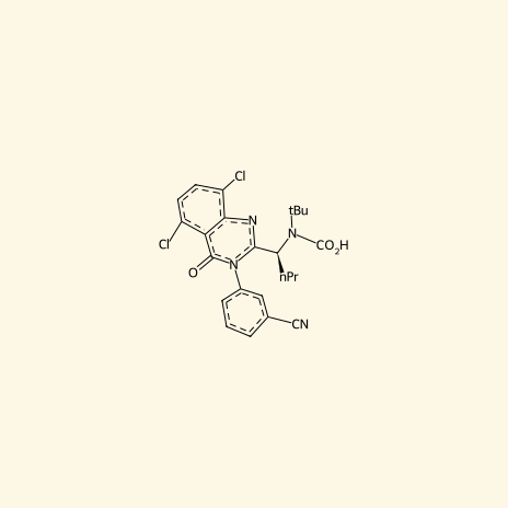 CCC[C@@H](c1nc2c(Cl)ccc(Cl)c2c(=O)n1-c1cccc(C#N)c1)N(C(=O)O)C(C)(C)C